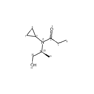 CCC(=O)N(C1CC1)[C@@H](C)CO